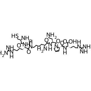 N=C(N)NCCCC[C@H](NC(=O)[C@@H](N)CS)C(=O)NCCCC[C@H](N)C(=O)N[C@@H](CCN)C(=O)N1CC=C[C@H]1C(=O)N[C@@H](CCCNC(=N)N)C(=O)O